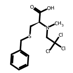 CN(CC(Cl)(Cl)Cl)[C@@H](CSCc1ccccc1)C(=O)O